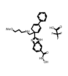 COCCCNCC1(c2nc3ccc(C(=O)NO)cc3[nH]2)C=CC(c2ccccc2)=CC1.O=C(O)C(F)(F)F